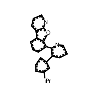 CC(C)c1cccc(-c2cccnc2-c2cccc3c2oc2ncccc23)c1